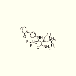 CC(C)CN(CC1CCC1)[C@H](C(N)=O)C(=O)Nc1ccc(N2CCOCC2=O)cc1OC(F)F